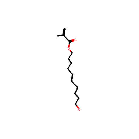 C=C(C)C(=O)OCCCCCCCCCC[O]